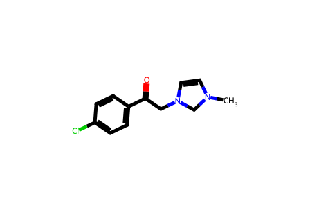 CN1C=CN(CC(=O)c2ccc(Cl)cc2)C1